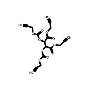 C#CCOC(=O)OC(C(=O)OCC#C)C(OC(=O)OCC#C)C(=O)OCC#C